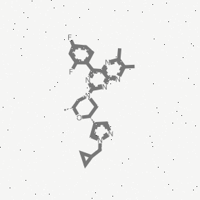 Cc1nc2nc(N3C[C@@H](C)O[C@@H](c4cnn(CC5CC5)c4)C3)nc(-c3ccc(F)cc3F)c2nc1C